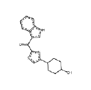 O=C(c1nc(C2CCC(O)CC2)cs1)c1c[nH]c2ccccc12